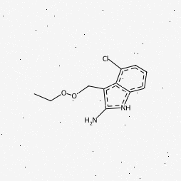 CCOOCc1c(N)[nH]c2cccc(Cl)c12